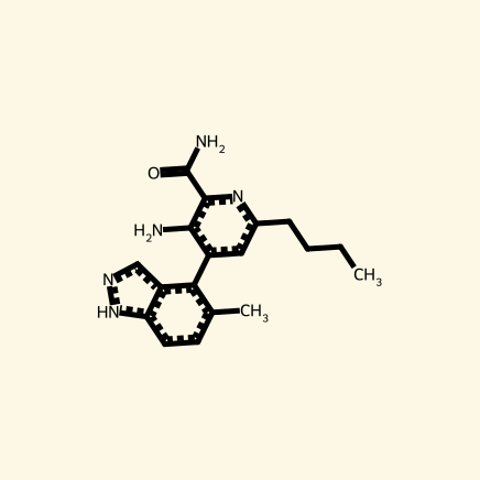 CCCCc1cc(-c2c(C)ccc3[nH]ncc23)c(N)c(C(N)=O)n1